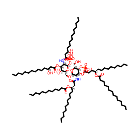 CCCCCCCCCCCCCC(=O)O[C@H](CCCCCCCCCC)CCC(=O)O[C@@H]1[C@H](NC(=O)C[C@@H](CCCCCCCCCCC)OC(=O)CCCCCCCCCCC)[C@H](OC[C@H]2O[C@H](OP(=O)(O)O)[C@@H](NC(=O)C[C@H](O)CCCCCCCCCCC)[C@@H](OC(=O)C[C@H](O)CCCCCCCCCCC)[C@@H]2O)O[C@H](CO)[C@H]1OP(=O)(O)O